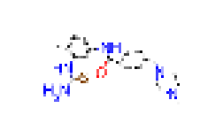 Cc1ccc(NC(=O)c2ccc(CN3CCN(C)CC3)cc2)cc1NC(N)=S